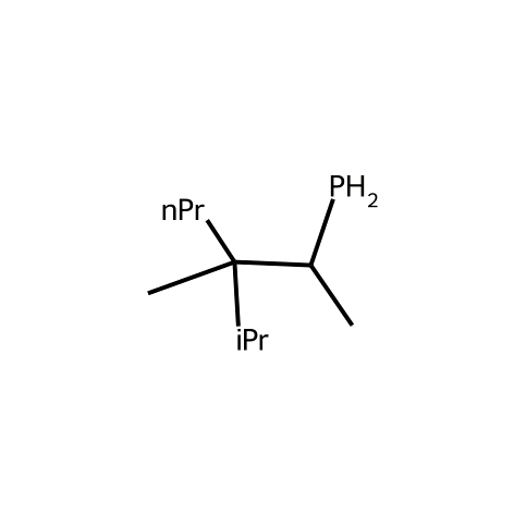 CCCC(C)(C(C)C)C(C)P